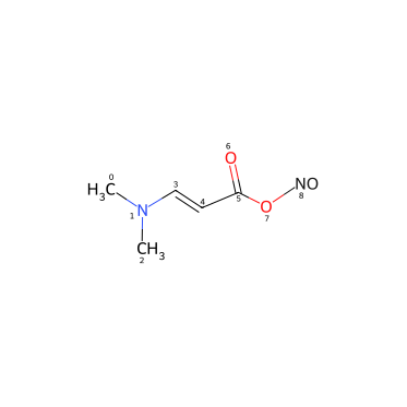 CN(C)C=CC(=O)ON=O